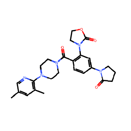 Cc1cnc(N2CCN(C(=O)c3ccc(N4CCCC4=O)cc3N3CCOC3=O)CC2)c(C)c1